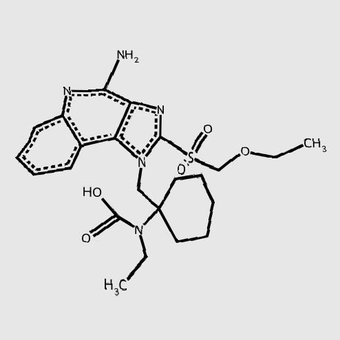 CCOCS(=O)(=O)c1nc2c(N)nc3ccccc3c2n1CC1(N(CC)C(=O)O)CCCCC1